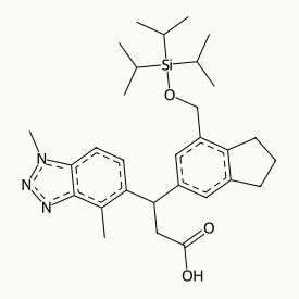 Cc1c(C(CC(=O)O)c2cc3c(c(CO[Si](C(C)C)(C(C)C)C(C)C)c2)CCC3)ccc2c1nnn2C